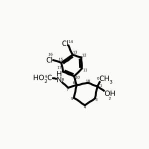 CC1(O)CCCC(CNC(=O)O)(c2ccc(Cl)c(Cl)c2)C1